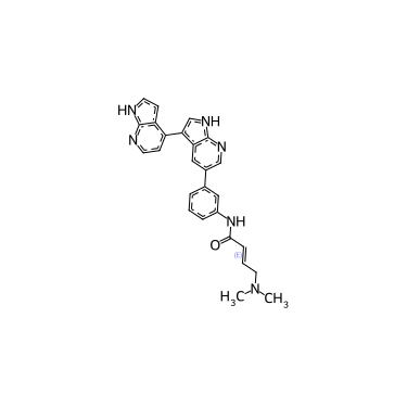 CN(C)C/C=C/C(=O)Nc1cccc(-c2cnc3[nH]cc(-c4ccnc5[nH]ccc45)c3c2)c1